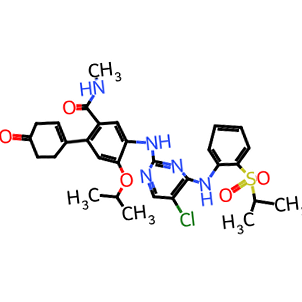 CNC(=O)c1cc(Nc2ncc(Cl)c(Nc3ccccc3S(=O)(=O)C(C)C)n2)c(OC(C)C)cc1C1=CCC(=O)CC1